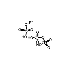 O=S(=O)([O-])O.[K+].[O]=[Cr](=[O])([OH])[O][Cr](=[O])(=[O])[OH]